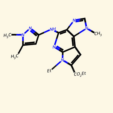 CCOC(=O)c1cc2c3c(ncn3C)c(Nc3cc(C)n(C)n3)nc2n1CC